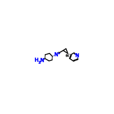 N[C@H]1CC[C@H]([N+]#CC2C[C@@H]2c2cccnc2)CC1